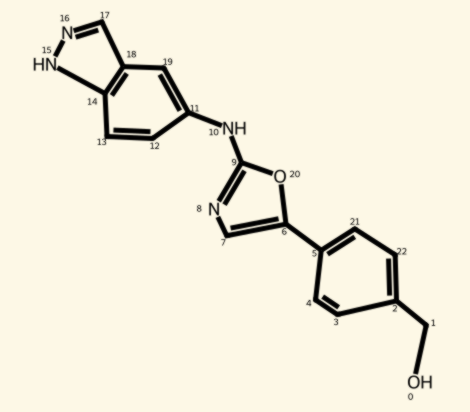 OCc1ccc(-c2cnc(Nc3ccc4[nH]ncc4c3)o2)cc1